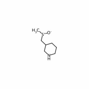 C[S+]([O-])CC1CCCNC1